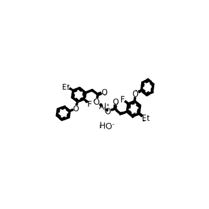 CCc1cc(CC(=O)[O][Al+][O]C(=O)Cc2cc(CC)cc(Oc3ccccc3)c2F)c(F)c(Oc2ccccc2)c1.[OH-]